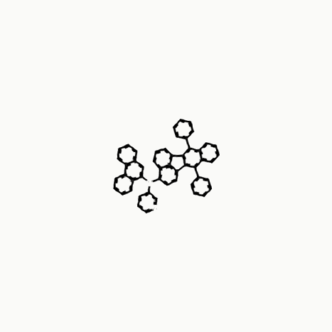 c1ccc(-c2c3c(c(-c4ccccc4)c4ccccc24)-c2ccc(N(c4cccnc4)c4cc5ccccc5c5ccccc45)c4cccc-3c24)cc1